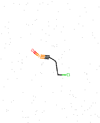 O=P#CCCCl